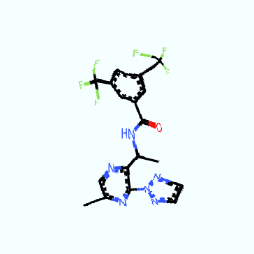 Cc1cnc(C(C)NC(=O)c2cc(C(F)(F)F)cc(C(F)(F)F)c2)c(-n2nccn2)n1